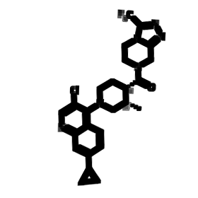 C[C@@H]1CN(c2c(Cl)cnc3cc(C4CC4)ccc23)CC[C@@H]1C(=O)N1CCn2c(nnc2C(F)(F)F)C1